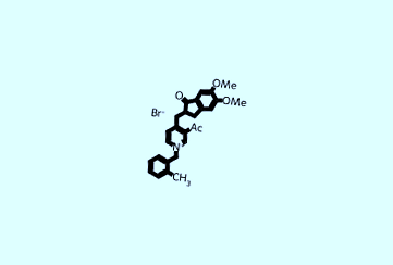 COc1cc2c(cc1OC)C(=O)C(Cc1cc[n+](Cc3ccccc3C)cc1C(C)=O)C2.[Br-]